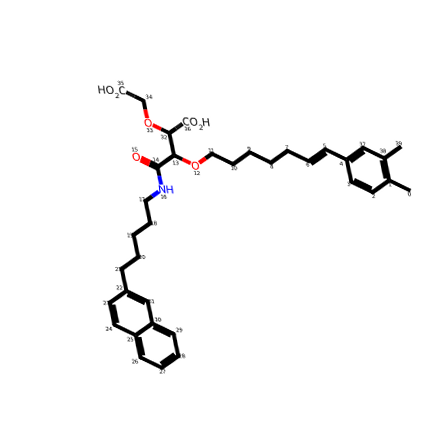 Cc1ccc(C=CCCCCCOC(C(=O)NCCCCCc2ccc3ccccc3c2)C(OCC(=O)O)C(=O)O)cc1C